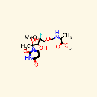 CO[C@](F)(COCNC(C)C(=O)OC(C)C)[C@@H](O)[C@@](C)(O)n1ccc(=O)[nH]c1=O